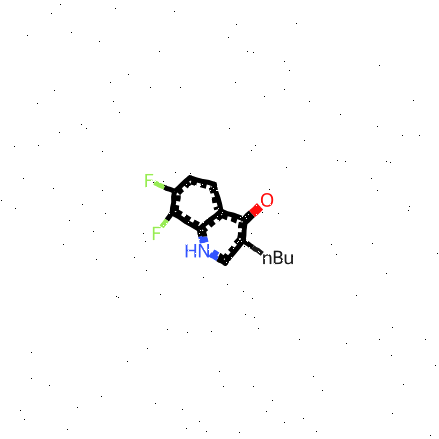 CCCCc1c[nH]c2c(F)c(F)ccc2c1=O